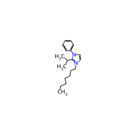 CCCCCCC[n+]1ccn(-c2ccccc2)c1C(C)C